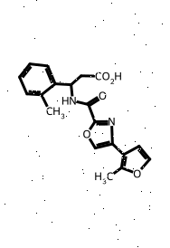 Cc1ccccc1C(CC(=O)O)NC(=O)c1nc(-c2ccoc2C)co1